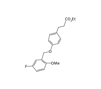 CCOC(=O)CCc1ccc(OCc2cc(F)ccc2OC)cc1